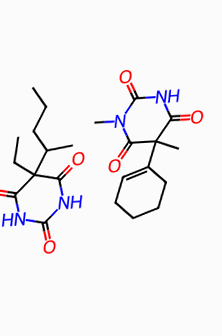 CCCC(C)C1(CC)C(=O)NC(=O)NC1=O.CN1C(=O)NC(=O)C(C)(C2=CCCCC2)C1=O